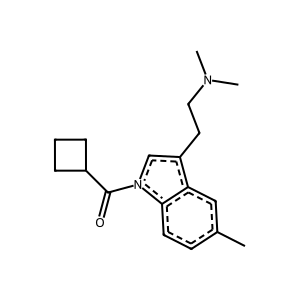 Cc1ccc2c(c1)c(CCN(C)C)cn2C(=O)C1CCC1